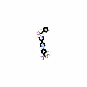 CN(C)C(=O)c1ccc(N2CCC(C3CCN(C(=O)C(F)(F)c4ccccc4)CC3)CC2)cc1Cl